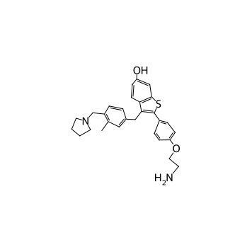 Cc1cc(Cc2c(-c3ccc(OCCN)cc3)sc3cc(O)ccc23)ccc1CN1CCCC1